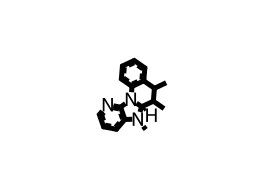 CC1c2ccccc2N2c3ncccc3N(C)[C@H]2C1C